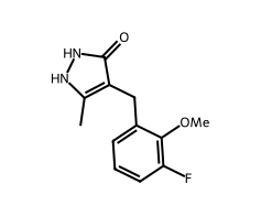 COc1c(F)cccc1Cc1c(C)[nH][nH]c1=O